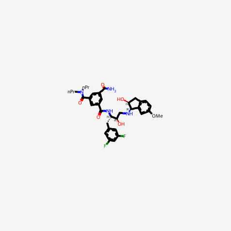 CCCN(CCC)C(=O)c1cc(C(N)=O)cc(C(=O)N[C@@H](Cc2cc(F)cc(F)c2)[C@H](O)CN[C@@H]2c3cc(OC)ccc3C[C@@H]2O)c1